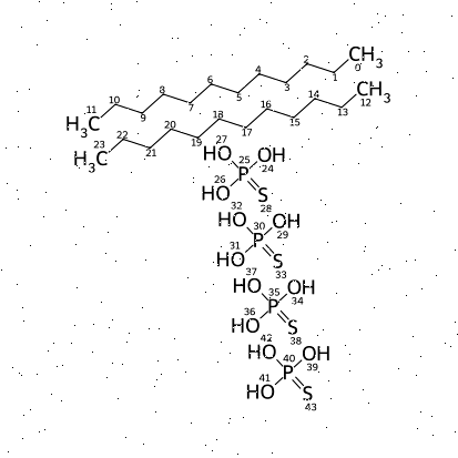 CCCCCCCCCCCC.CCCCCCCCCCCC.OP(O)(O)=S.OP(O)(O)=S.OP(O)(O)=S.OP(O)(O)=S